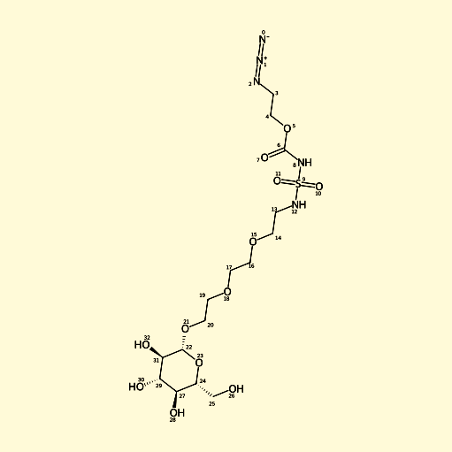 [N-]=[N+]=NCCOC(=O)NS(=O)(=O)NCCOCCOCCO[C@@H]1O[C@H](CO)[C@@H](O)[C@H](O)[C@H]1O